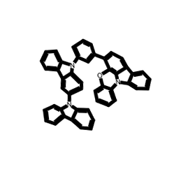 c1cc(-c2ccc3c4ccccc4n4c3c2Oc2ccccc2-4)cc(-n2c3ccccc3c3cc(-n4c5ccccc5c5ccccc54)ccc32)c1